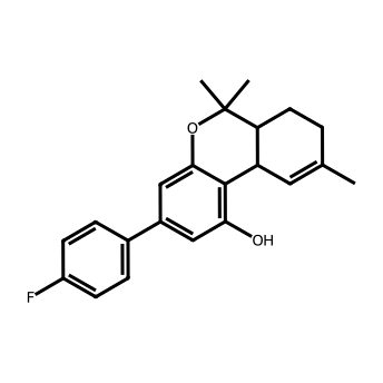 CC1=CC2c3c(O)cc(-c4ccc(F)cc4)cc3OC(C)(C)C2CC1